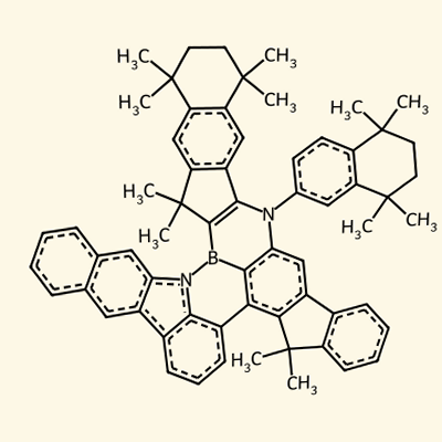 CC1(C)CCC(C)(C)c2cc(N3C4=C(B5c6c3cc3c(c6-c6cccc7c8cc9ccccc9cc8n5c67)C(C)(C)c5ccccc5-3)C(C)(C)c3cc5c(cc34)C(C)(C)CCC5(C)C)ccc21